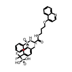 O=C(NCCCOc1ccnc2ccccc12)[C@H](Cc1ccc(C(F)(F)P(=O)(O)O)cc1)NS(=O)(=O)c1ccccc1